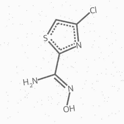 N/C(=N\O)c1nc(Cl)cs1